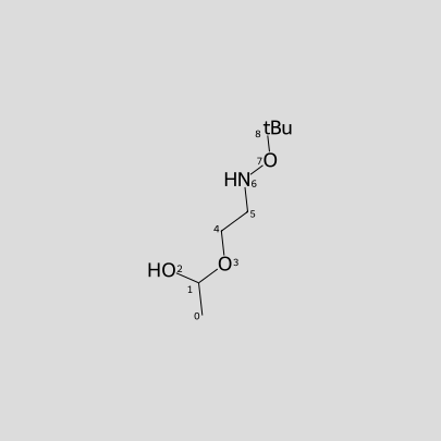 CC(O)OCCNOC(C)(C)C